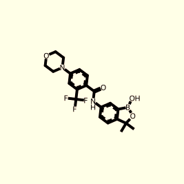 CC1(C)OB(O)c2cc(NC(=O)c3ccc(N4CCOCC4)cc3C(F)(F)F)ccc21